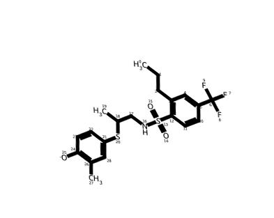 CCCc1cc(C(F)(F)F)ccc1S(=O)(=O)NCC(C)Sc1ccc([O])c(C)c1